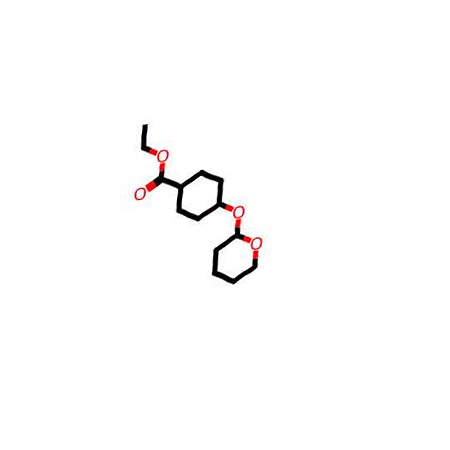 CCOC(=O)C1CCC(OC2CCCCO2)CC1